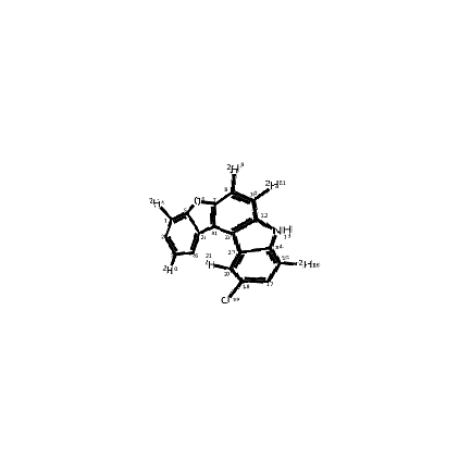 [2H]c1cc([2H])c2oc3c([2H])c([2H])c4[nH]c5c([2H])cc(Cl)c([2H])c5c4c3c2c1